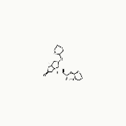 CCCCC[C@@H](C=C[C@@H]1[C@H]2CC(=O)C[C@@]2(C)C[C@H]1OC1CCCCO1)OC1CCCCO1